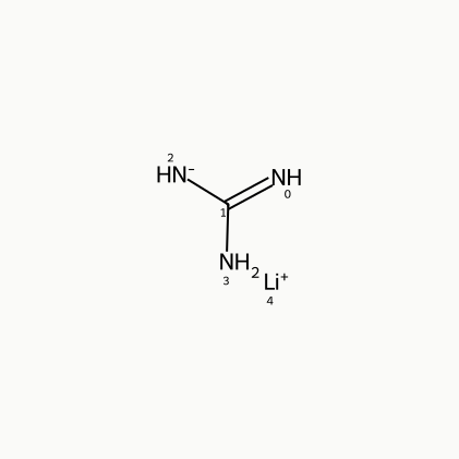 N=C([NH-])N.[Li+]